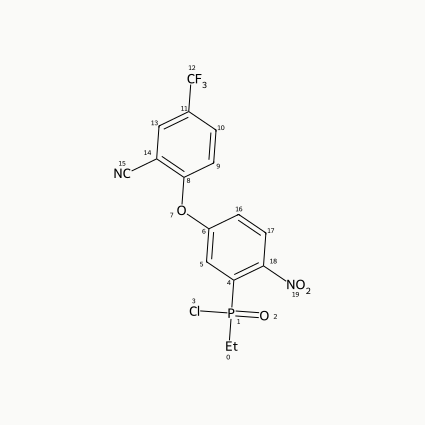 CCP(=O)(Cl)c1cc(Oc2ccc(C(F)(F)F)cc2C#N)ccc1[N+](=O)[O-]